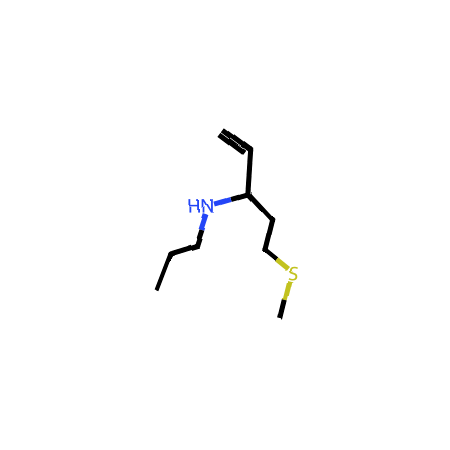 C=CC(CCSC)NCCC